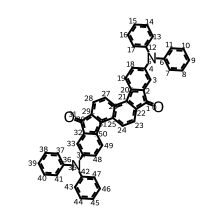 O=c1c2cc(N(c3ccccc3)c3ccccc3)ccc2c2c1ccc1c2ccc2c(=O)c3cc(N(c4ccccc4)c4ccccc4)ccc3c21